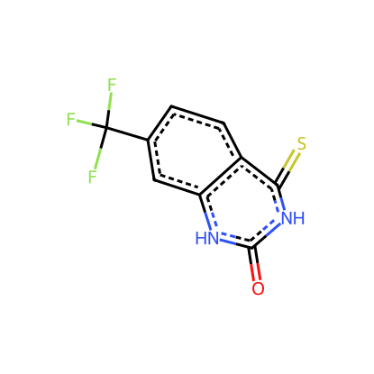 O=c1[nH]c(=S)c2ccc(C(F)(F)F)cc2[nH]1